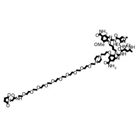 CCN/C(=C\C(C)=N)C(=O)Nc1nc2cc(C(N)=O)cc(OCCCN3CCN(CCOCCOCCOCCOCCOCCOCCOCCOCCOCCOCCNC(=O)CN4C(=O)C=CC4=O)CC3)c2n1C/C=C/Cn1c(NC(=O)c2cn(C)nc2CC)nc2cc(C(N)=O)cc(OC)c21